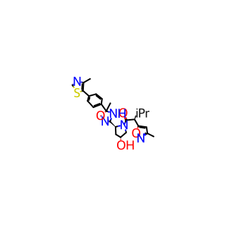 Cc1cc([C@@H](C(=O)N2C[C@H](O)C[C@H]2C2=NOC(C)(c3ccc(-c4scnc4C)cc3)N2)C(C)C)on1